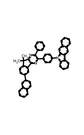 CC1(C)c2ccc(-c3ccc4ccccc4c3)cc2-c2nc(-c3ccc(-n4c5ccccc5c5cc6ccccc6cc54)cc3)c(-c3ccccc3)nc21